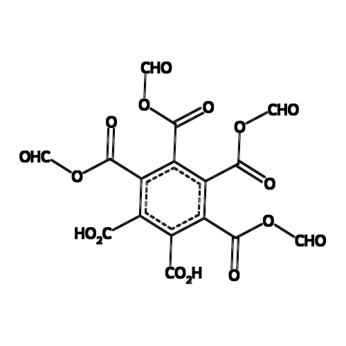 O=COC(=O)c1c(C(=O)O)c(C(=O)O)c(C(=O)OC=O)c(C(=O)OC=O)c1C(=O)OC=O